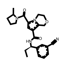 CC[C@@H](NC(=O)c1cc(C(=O)N2CCCC2C)n2c1COCC2)c1cccc(C#N)c1